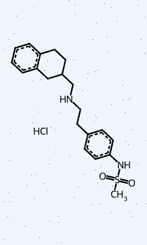 CS(=O)(=O)Nc1ccc(CCNCC2CCc3ccccc3C2)cc1.Cl